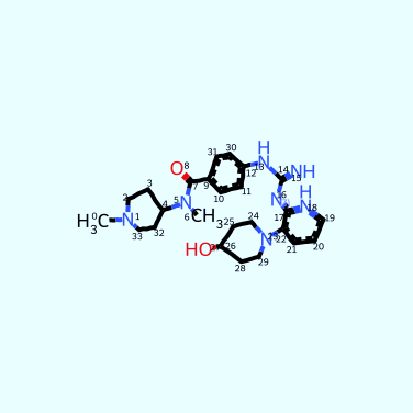 CN1CCC(N(C)C(=O)c2ccc(NC(=N)/N=c3\[nH]cccc3N3CCC(O)CC3)cc2)CC1